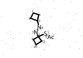 CC(=O)SC1(N=NC2CCC2)CCC1